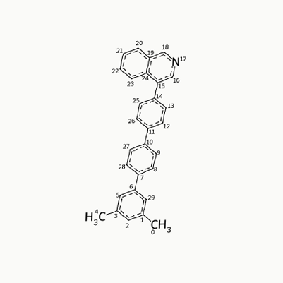 Cc1cc(C)cc(-c2ccc(-c3ccc(-c4cncc5ccccc45)cc3)cc2)c1